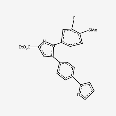 CCOC(=O)c1cc(-c2ccc(-c3ccco3)cc2)n(-c2ccc(SC)c(F)c2)n1